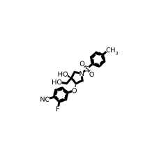 Cc1ccc(S(=O)(=O)N2C[C@H](Oc3ccc(C#N)c(F)c3)[C@](O)(CO)C2)cc1